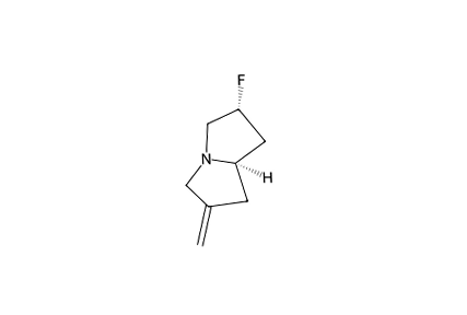 C=C1C[C@@H]2C[C@@H](F)CN2C1